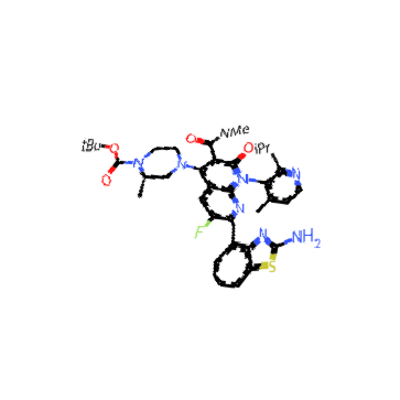 CNC(=O)c1c(N2CCN(C(=O)OC(C)(C)C)[C@H](C)C2)c2cc(F)c(-c3cccc4sc(N)nc34)nc2n(-c2c(C)ccnc2C(C)C)c1=O